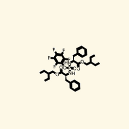 CCC(CC)COC(=O)[C@H](Cc1ccccc1)NP(=O)(N[C@@H](Cc1ccccc1)C(=O)OCC(CC)CC)Oc1c(F)c(F)c(F)c(F)c1F